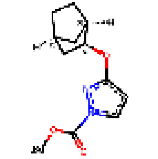 CC(C)(C)OC(=O)n1ccc(O[C@H]2C[C@H]3CC[C@@H]2C3)n1